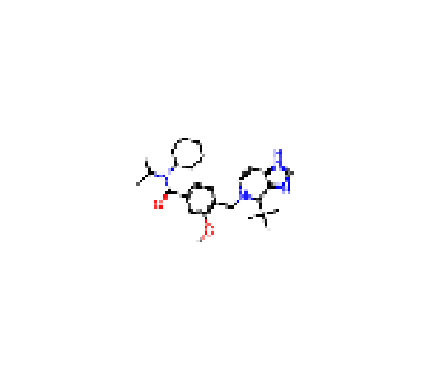 COc1cc(C(=O)N(C(C)C)C2CCCCC2)ccc1CN1C=Cc2[nH]cnc2C1C(C)(C)C